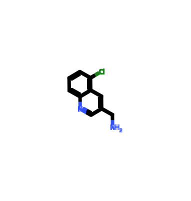 NCc1cnc2cccc(Cl)c2c1